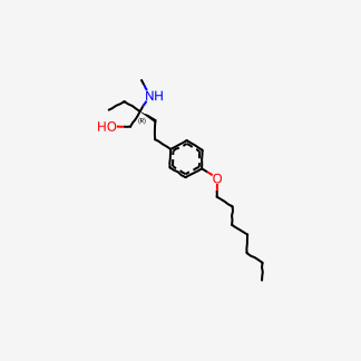 CCCCCCCOc1ccc(CC[C@](CC)(CO)NC)cc1